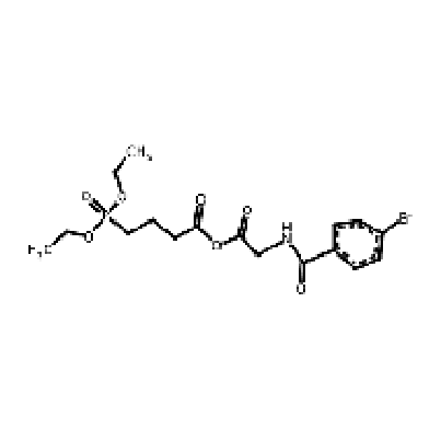 CCOP(=O)(CCCC(=O)OC(=O)CNC(=O)c1ccc(Br)cc1)OCC